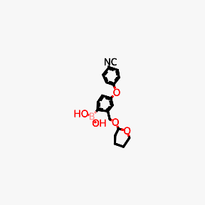 [C-]#[N+]c1ccc(Oc2ccc(B(O)O)c(COC3CCCCO3)c2)cc1